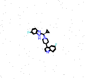 Fc1ccc2nc([C@@H](C3CC3)N3CCC(c4ccnc5ccc(F)cc45)CC3)[nH]c2c1